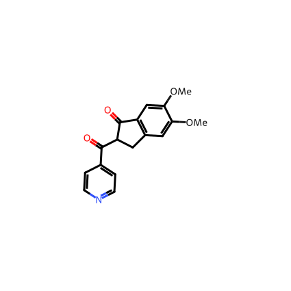 COc1cc2c(cc1OC)C(=O)C(C(=O)c1ccncc1)C2